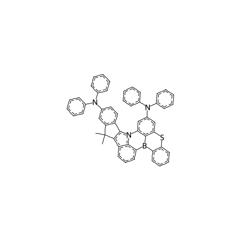 CC1(C)c2cc(N(c3ccccc3)c3ccccc3)ccc2-c2c1c1cccc3c1n2-c1cc(N(c2ccccc2)c2ccccc2)cc2c1B3c1ccccc1S2